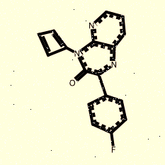 O=c1c(-c2ccc(F)cc2)nc2cccnc2n1C1=CC=C1